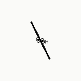 CCCCCCCCCCCCCCCCCCCCC(CCC(CCCCCCCCCCCCCCCCCCCC)C(=O)O)C(=O)O